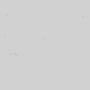 NCC(OB(c1ccc(F)c(F)c1)c1ccc(F)c(F)c1)c1ccccc1